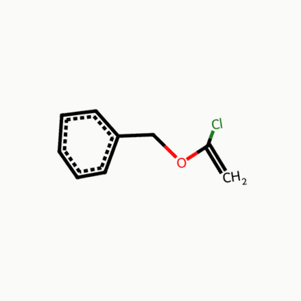 C=C(Cl)OCc1ccccc1